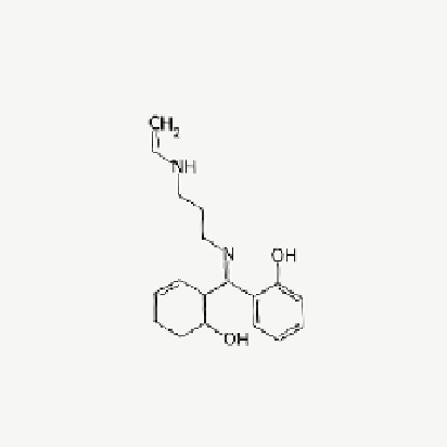 C=CNCCC/N=C(/c1ccccc1O)C1C=CCCC1O